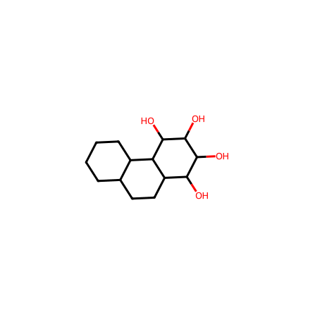 OC1C(O)C(O)C2C3CCCCC3CCC2C1O